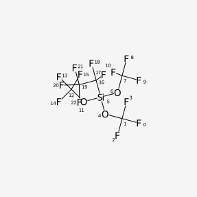 FC(F)(F)O[Si](OC(F)(F)F)(OC(F)(F)F)C(F)(F)C(F)(F)F